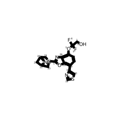 OCC(F)(F)Oc1ccc(-c2cscn2)c2oc(N3CC4CC(C3)N4)nc12